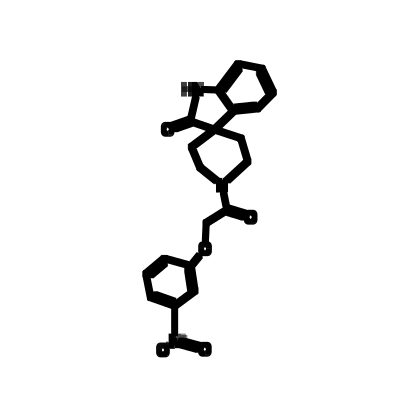 O=C(COc1cccc([N+](=O)[O-])c1)N1CCC2(CC1)C(=O)Nc1ccccc12